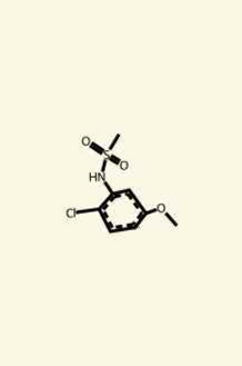 COc1[c]cc(Cl)c(NS(C)(=O)=O)c1